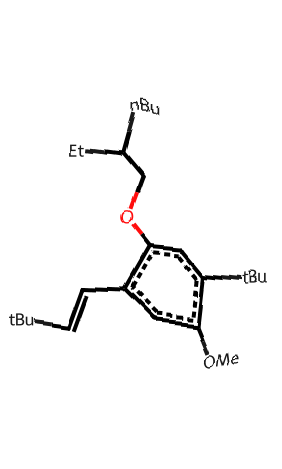 CCCCC(CC)COc1cc(C(C)(C)C)c(OC)cc1/C=C/C(C)(C)C